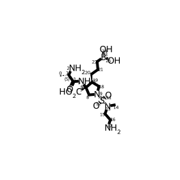 C[C@H](N)C(=O)N[C@@]1(C(=O)O)CN(S(=O)(=O)N(C)CCN)C[C@@H]1CCCB(O)O